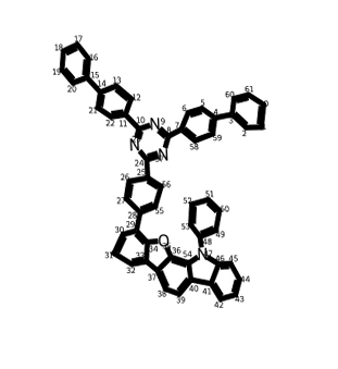 c1ccc(-c2ccc(-c3nc(-c4ccc(-c5ccccc5)cc4)nc(-c4ccc(-c5cccc6c5oc5c6ccc6c7ccccc7n(-c7ccccc7)c65)cc4)n3)cc2)cc1